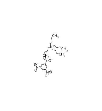 CCCC[N+](CCCC)(CCCC)CCCC.O=C([O-])c1cc([N+](=O)[O-])cc([N+](=O)[O-])c1